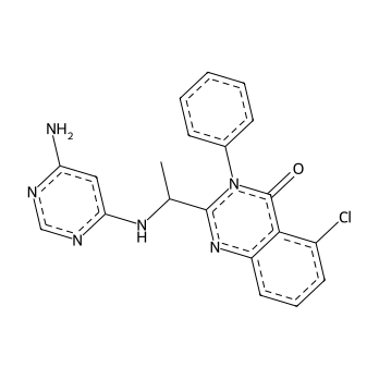 CC(Nc1cc(N)ncn1)c1nc2cccc(Cl)c2c(=O)n1-c1ccccc1